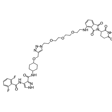 O=C1CCC(N2C(=O)c3cccc(NCCOCCOCCOCCn4cc(COC5CCC(NC(=O)c6n[nH]cc6NC(=O)c6c(F)cccc6F)CC5)nn4)c3C2=O)C(=O)N1